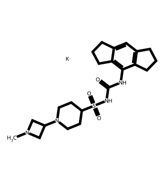 CN1CC(N2CCC(S(=O)(=O)NC(=O)Nc3c4c(cc5c3CCC5)CCC4)CC2)C1.[K]